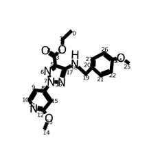 CCOC(=O)c1nn(-c2ccnc(OC)c2)nc1NCc1ccc(OC)cc1